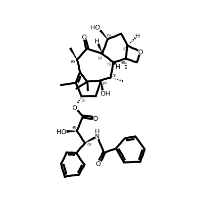 CC1=C2[C@@H](C)C(=O)[C@H]3[C@H]([C@H](C)[C@](O)(C[C@@H]1OC(=O)[C@H](O)[C@@H](NC(=O)c1ccccc1)c1ccccc1)C2(C)C)[C@]1(C)CO[C@@H]1C[C@@H]3O